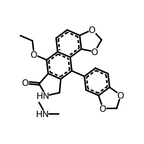 CCOc1c2c(c(-c3ccc4c(c3)OCO4)c3c4c(ccc13)OCO4)CNC2=O.CNC